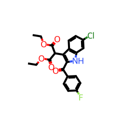 CCOC(=O)C(C(=O)OCC)c1c(C(=O)c2ccc(F)cc2)[nH]c2cc(Cl)ccc12